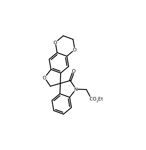 CCOC(=O)CN1C(=O)C2(COc3cc4c(cc32)OCCO4)c2ccccc21